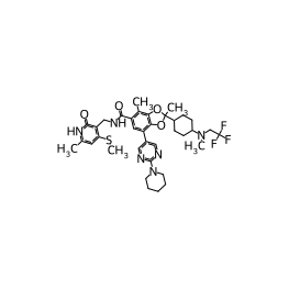 CSc1cc(C)[nH]c(=O)c1CNC(=O)c1cc(-c2cnc(N3CCCCC3)nc2)c2c(c1C)OC(C)(C1CCC(N(C)CC(F)(F)F)CC1)O2